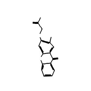 O=C(O)COc1cc2oc3ccccc3c(=O)c2cc1Cl